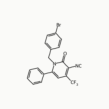 [C-]#[N+]c1c(C(F)(F)F)cc(-c2ccccc2)n(Cc2ccc(Br)cc2)c1=O